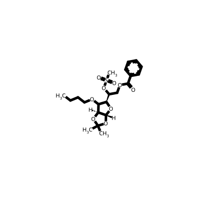 CCCCOC1[C@@H](C(COC(=O)c2ccccc2)OS(C)(=O)=O)O[C@@H]2OC(C)(C)O[C@@H]12